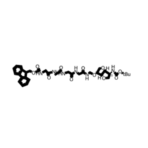 CC(C)(C)OC(=O)N[C@H]1CO[C@H]2[C@@H]1OC[C@H]2OCNC(=O)CNC(=O)CNC(=O)CNC(=O)CNC(=O)OCC1c2ccccc2-c2ccccc21